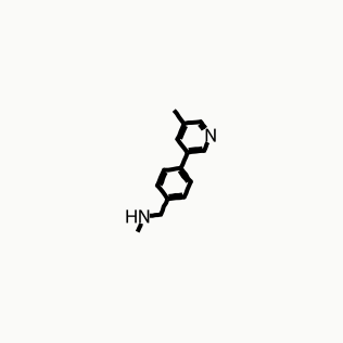 CNCc1ccc(-c2cncc(C)c2)cc1